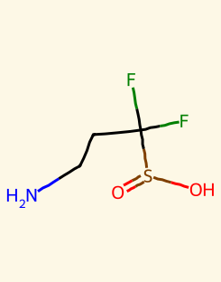 NCCC(F)(F)S(=O)O